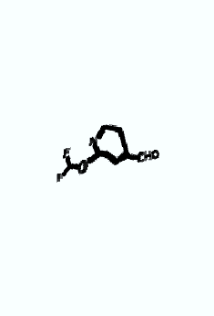 O=CC1C=C(OC(F)F)N=CC1